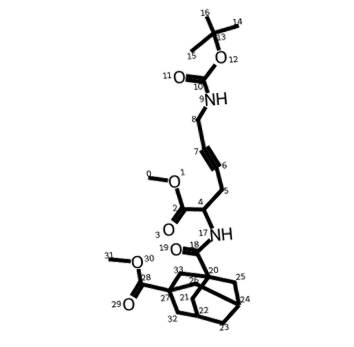 COC(=O)C(CC#CCNC(=O)OC(C)(C)C)NC(=O)C12CC3CC(C1)CC(C(=O)OC)(C3)C2